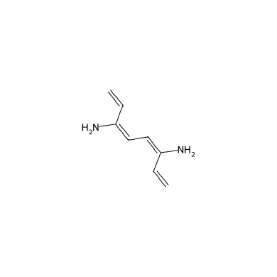 C=C/C(N)=C\C=C(\N)C=C